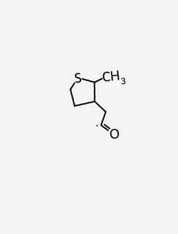 CC1SCCC1C[C]=O